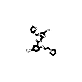 CC(C)(C)c1cn(C[C@H]2CCCO2)c(=NC(=O)c2cc(C(F)(F)F)ccc2OCCN2CCCC2)o1